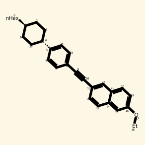 CCCCCC[C@H]1CC[C@H](c2ccc(C#Cc3ccc4cc(OCC)ccc4c3)cc2)CC1